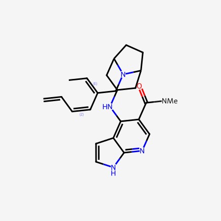 C=C/C=C\C(=C/C)CN1C2CCC1CC(Nc1c(C(=O)NC)cnc3[nH]ccc13)C2